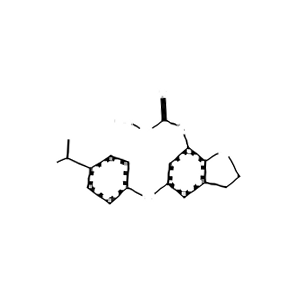 CC(C)(C)OC(=O)Nc1cc(Oc2ccc(C(F)F)cc2)cc2c1OCC2